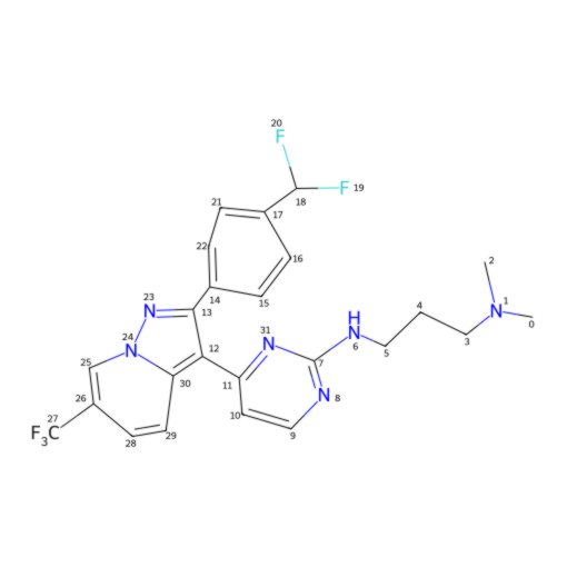 CN(C)CCCNc1nccc(-c2c(-c3ccc(C(F)F)cc3)nn3cc(C(F)(F)F)ccc23)n1